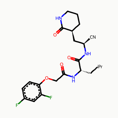 CC(C)C[C@H](NC(=O)COc1ccc(F)cc1F)C(=O)N[C@H](C#N)C[C@@H]1CCCNC1=O